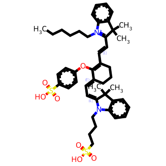 CCCCCC[N+]1=C(/C=C/C2=C(Oc3ccc(S(=O)(=O)O)cc3)C(=C/C=C3/N(CCCCS(=O)(=O)O)c4ccccc4C3(C)C)/CCC2)C(C)(C)c2ccccc21